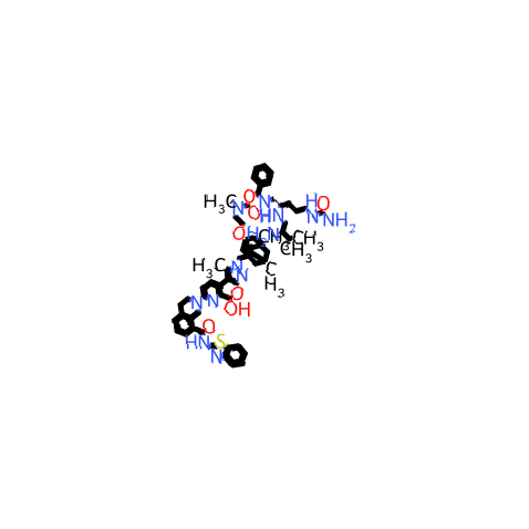 Cc1c(-c2ccc(N3CCc4cccc(C(=O)Nc5nc6ccccc6s5)c4C3)nc2C(=O)O)cnn1CC12CC3(C)CC(C)(C1)CC(OCCN(C)C(=O)OC(NC[C@H](CCCNC(N)=O)NC[C@@H](N)C(C)C)c1ccccc1)(C3)C2